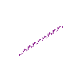 P#P=P\P=P/P=P\P=P/P=P\P=P/P=P\P=P/P=P\P=P/P=P\P=P/P=P\P=P/P=P\P=P